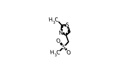 Cc1nc(CS(C)(=O)=O)cs1